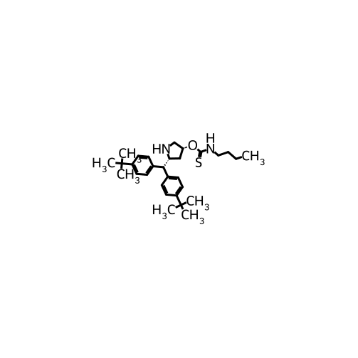 CCCCNC(=S)O[C@H]1CN[C@@H](C(c2ccc(C(C)(C)C)cc2)c2ccc(C(C)(C)C)cc2)C1